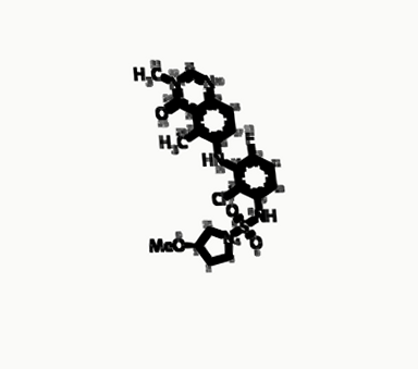 CO[C@@H]1CCN(S(=O)(=O)Nc2ccc(F)c(Nc3ccc4ncn(C)c(=O)c4c3C)c2Cl)C1